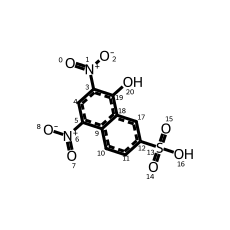 O=[N+]([O-])c1cc([N+](=O)[O-])c2ccc(S(=O)(=O)O)cc2c1O